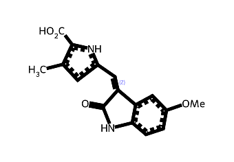 COc1ccc2c(c1)/C(=C/c1cc(C)c(C(=O)O)[nH]1)C(=O)N2